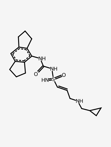 N=S(=O)(/C=C/CNCC1CC1)NC(=O)Nc1c2c(cc3c1CCC3)CCC2